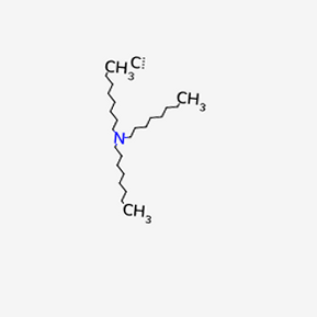 CCCCCCCCN(CCCCCCCC)CCCCCCCC.[C]